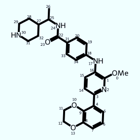 COc1nc(-c2cccc3c2OCCO3)ccc1Nc1ccc(C(=O)NC(C)C2CCNCC2)cc1